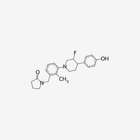 Cc1c(CN2CCCC2=O)cccc1N1CCC(c2ccc(O)cc2)C(F)C1